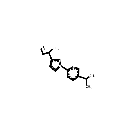 CCC(C)c1ccn(-c2ccc(C(C)C)cn2)n1